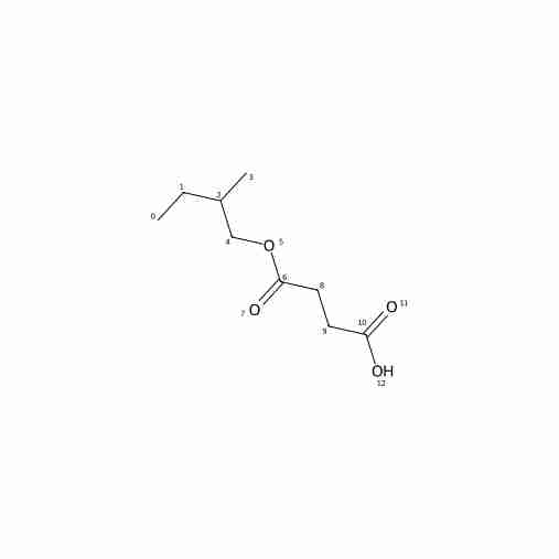 CCC(C)COC(=O)CCC(=O)O